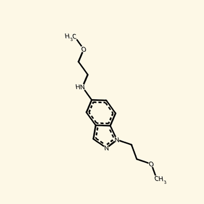 COCCNc1ccc2c(cnn2CCOC)c1